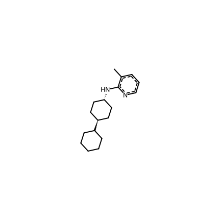 Cc1cccnc1N[C@H]1CC[C@H](C2CCCCC2)CC1